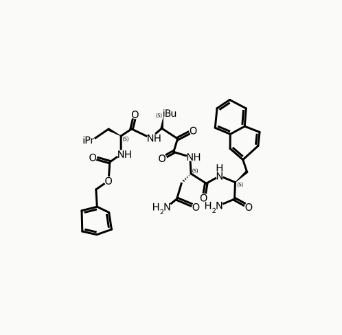 CC[C@H](C)C(NC(=O)[C@H](CC(C)C)NC(=O)OCc1ccccc1)C(=O)C(=O)N[C@@H](CC(N)=O)C(=O)N[C@@H](Cc1ccc2ccccc2c1)C(N)=O